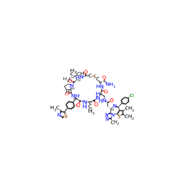 Cc1ncsc1-c1ccc([C@H]2NC(=O)[C@@H]3CCCN3C(=O)[C@H](C(C)(C)C)NC(=O)CSC[C@H](C(N)=O)NC(=O)[C@@H](CNC(=O)C[C@@H]3N=C(c4ccc(Cl)cc4)c4c(sc(C)c4C)-n4c(C)nnc43)NC(=O)[C@H](C)NC2=O)cc1